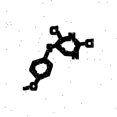 COc1ccc(Sc2cnc(Cl)nc2Cl)cc1